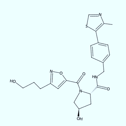 Cc1ncsc1-c1ccc(CNC(=O)[C@@H]2C[C@@H](O)CN2C(=O)c2cc(CCCO)no2)cc1